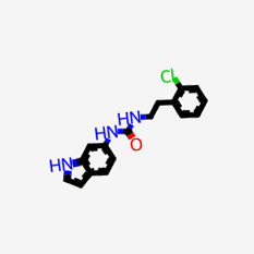 O=C(NCCc1ccccc1Cl)Nc1ccc2cc[nH]c2c1